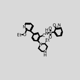 CCOc1ncccc1-c1ccc(N2CCNC[C@H]2CC)c(CNS(=O)(=O)c2ccccc2[N+](=O)[O-])c1